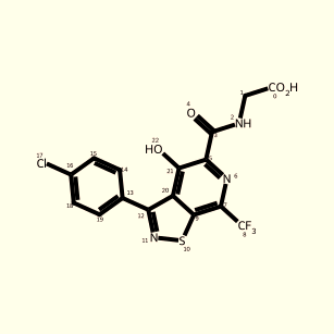 O=C(O)CNC(=O)c1nc(C(F)(F)F)c2snc(-c3ccc(Cl)cc3)c2c1O